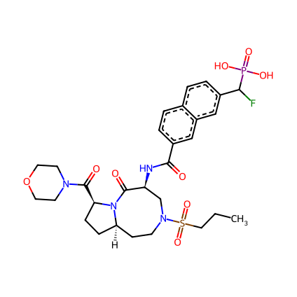 CCCS(=O)(=O)N1CC[C@H]2CC[C@@H](C(=O)N3CCOCC3)N2C(=O)[C@@H](NC(=O)c2ccc3ccc(C(F)P(=O)(O)O)cc3c2)C1